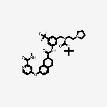 CNC(=O)c1cc(Oc2ccc3c(c2)CC(C(=O)Nc2cc(CN(CCN4CCCC4)C(=O)OC(C)(C)C)cc(C(F)(F)F)c2)CC3)ccn1